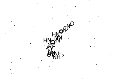 CN/C=C(\NN)C(=O)N1C[C@@H](F)[C@@H](Oc2ccc(-c3ncnc(Nc4ccc(N5CCN(C6COC6)CC5)cc4)n3)cc2NC)C(C)(C)C1